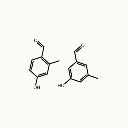 Cc1cc(O)cc(C=O)c1.Cc1cc(O)ccc1C=O